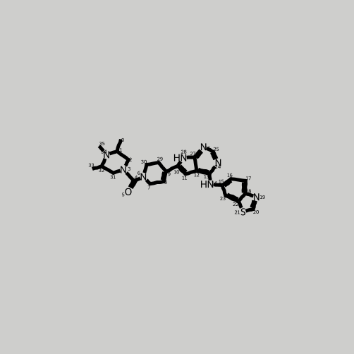 CC1CN(C(=O)N2CC=C(c3cc4c(Nc5ccc6ncsc6c5)ncnc4[nH]3)CC2)CC(C)N1C